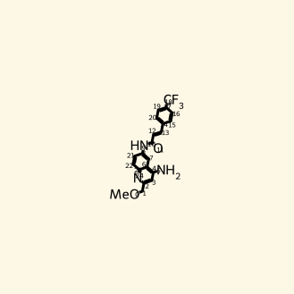 COCc1cc(N)c2cc(NC(=O)/C=C/c3ccc(C(F)(F)F)cc3)ccc2n1